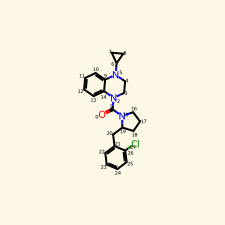 O=C(N1CCN(C2CC2)c2ccccc21)N1CCCC1Cc1ccccc1Cl